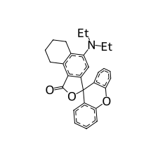 CCN(CC)c1cc2c(c3c1CCCC3)C(=O)OC21c2ccccc2Oc2ccccc21